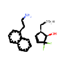 NCCc1cccc2ccccc12.O=C(O)C[C@@H]1C=CC(F)(F)[C@@H]1O